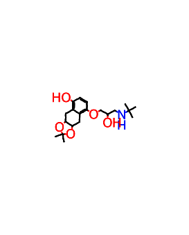 CC(C)(C)NCC(O)COc1ccc(O)c2c1CC1OC(C)(C)OC1C2